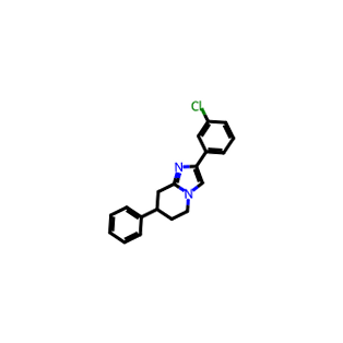 Clc1cccc(-c2cn3c(n2)CC(c2ccccc2)CC3)c1